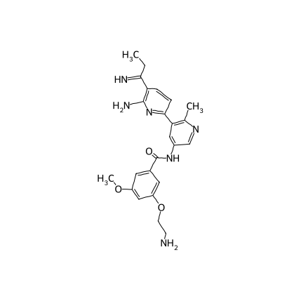 CCC(=N)c1ccc(-c2cc(NC(=O)c3cc(OC)cc(OCCN)c3)cnc2C)nc1N